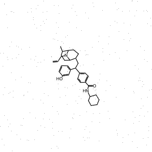 C=CCN1C2CCC(CC(c3ccc(C(=O)NC4CCCCC4)cc3)c3cccc(O)c3)C1CCC2C